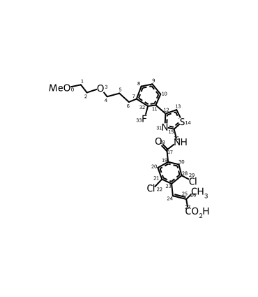 COCCOCCCc1cccc(-c2csc(NC(=O)c3cc(Cl)c(/C=C(\C)C(=O)O)c(Cl)c3)n2)c1F